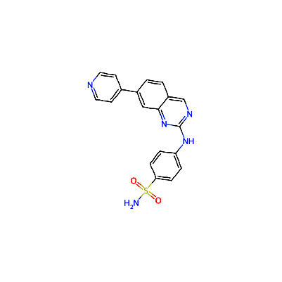 NS(=O)(=O)c1ccc(Nc2ncc3ccc(-c4ccncc4)cc3n2)cc1